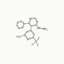 Cc1cc(-c2c(NN)ncnc2-c2ccccc2)cc(C(F)(F)F)n1